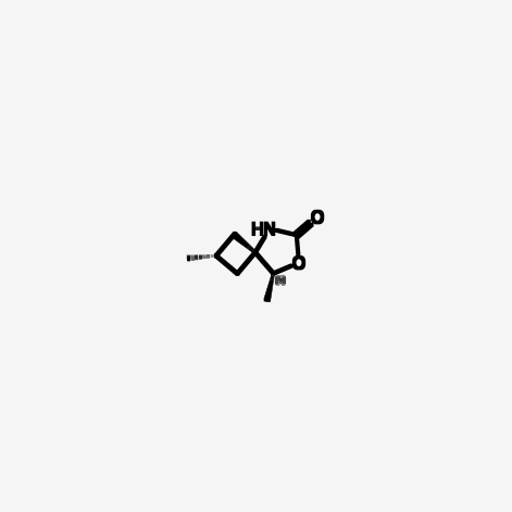 C[C@@H]1OC(=O)N[C@]12C[C@@H](C)C2